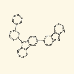 c1ccc(-c2cccc(-n3c4ccccc4c4cc(-c5ccc6sc7ncccc7c6c5)ccc43)c2)cc1